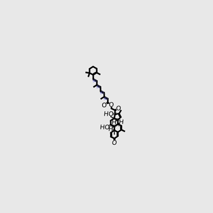 CC1=C[C@@H]2[C@H]([C@@H](O)C[C@@]3(C)[C@H]2C=C(C)[C@]3(O)C(=O)COC(=O)/C=C(C)/C=C/C=C(C)/C=C/C2=C(C)CCCC2(C)C)[C@@]2(C)C=CC(=O)C=C12